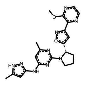 COc1nccnc1-c1cc([C@@H]2CCCN2c2nc(C)cc(Nc3cc(C)[nH]n3)n2)on1